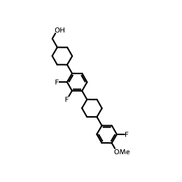 COc1ccc(C2CCC(c3ccc(C4CCC(CO)CC4)c(F)c3F)CC2)cc1F